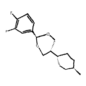 C[C@H]1CC[C@H]([C@H]2CO[C@H](c3ccc(F)c(F)c3)OC2)CC1